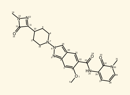 COc1cc2nn(N3CCC(C4=NN(C)C4=O)CC3)cc2cc1C(=O)Nc1cccn(C)c1=O